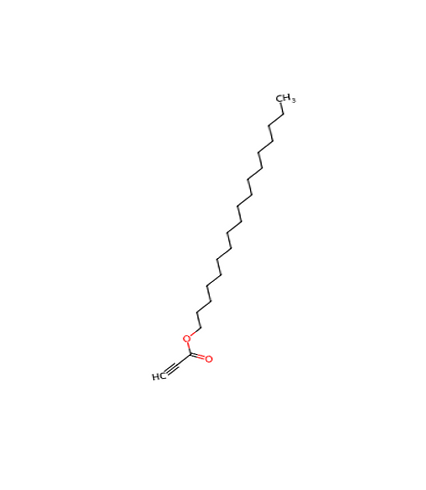 C#CC(=O)OCCCCCCCCCCCCCCCCCC